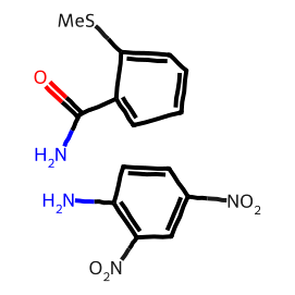 CSc1ccccc1C(N)=O.Nc1ccc([N+](=O)[O-])cc1[N+](=O)[O-]